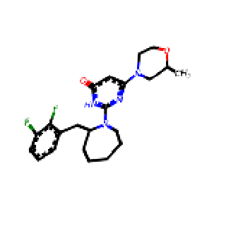 CC1CN(c2cc(=O)[nH]c(N3CCCCCC3Cc3cccc(F)c3F)n2)CCO1